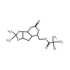 CCC(C)(C)C(=O)OCC1OC(=O)OC2C1CC1OC(C)(C)OC12